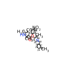 CC1=C(C(=O)O)C(c2cccc([N+](=O)[O-])c2)C(C(=O)OC2CCN(Cc3cccc(C)c3)CC2C)=C(C)N1